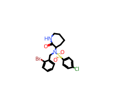 O=C1NCCCCC1N(Cc1ccccc1Br)S(=O)(=O)c1ccc(Cl)cc1